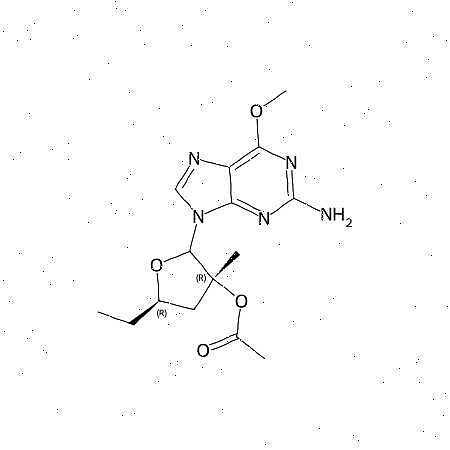 CC[C@@H]1C[C@@](C)(OC(C)=O)C(n2cnc3c(OC)nc(N)nc32)O1